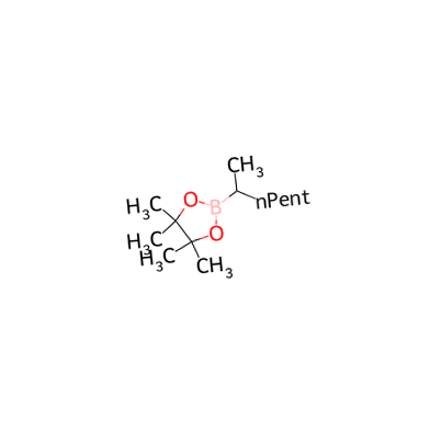 CCCCCC(C)B1OC(C)(C)C(C)(C)O1